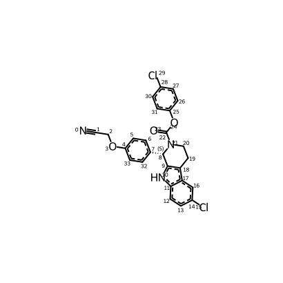 N#CCOc1ccc([C@H]2c3[nH]c4ccc(Cl)cc4c3CCN2C(=O)Oc2ccc(Cl)cc2)cc1